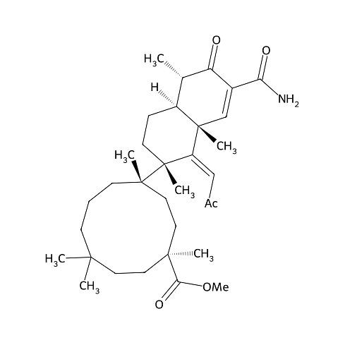 COC(=O)[C@@]1(C)CCC(C)(C)CCC[C@](C)([C@]2(C)CC[C@H]3[C@H](C)C(=O)C(C(N)=O)=C[C@]3(C)/C2=C/C(C)=O)CC1